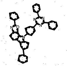 c1ccc(-c2ccc3c(c2)c2ccc4nc(-c5ccccc5)oc4c2n3-c2ccc(-c3nc(-c4ccccc4)nc(-c4ccccc4)n3)cc2)cc1